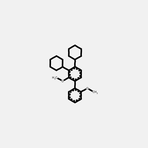 COc1ccccc1-c1ccc(C2CCCCC2)c(C2CCCCC2)c1OC